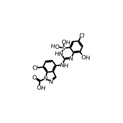 O=C(O)n1ncc2c(NC3=Nc4c(O)cc(Cl)cc4S(O)(O)N3)ccc(Cl)c21